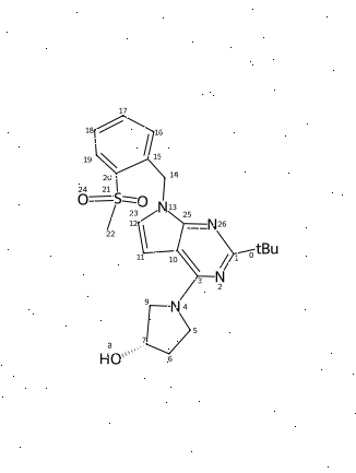 CC(C)(C)c1nc(N2CC[C@H](O)C2)c2ccn(Cc3ccccc3S(C)(=O)=O)c2n1